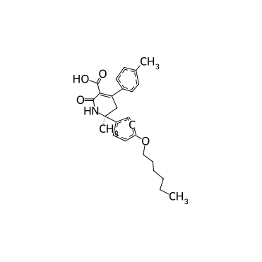 CCCCCCOc1ccc([C@]2(C)CC(c3ccc(C)cc3)=C(C(=O)O)C(=O)N2)cc1